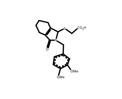 COc1ccc(CN2C(=O)C3=C(CCCC3)C2SCC(=O)O)cc1OC